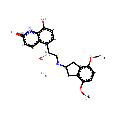 COc1ccc(OC)c2c1CC(NC[C@H](O)c1ccc(O)c3[nH]c(=O)ccc13)C2.Cl